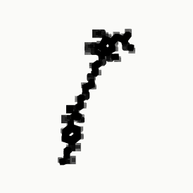 CNCNc1ccc(NC(=S)NCCOCCOCCO[C@@H](O)C2(OC)CC(CC(C)OC)[C@@H](O)C2O)cc1